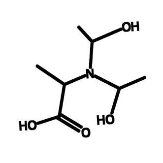 CC(O)N(C(C)O)C(C)C(=O)O